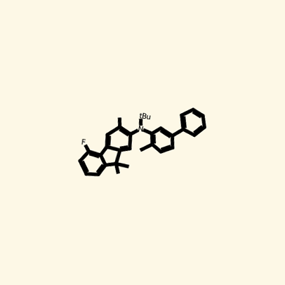 Cc1ccc(-c2ccccc2)cc1N(c1cc2c(cc1C)-c1c(F)cccc1C2(C)C)C(C)(C)C